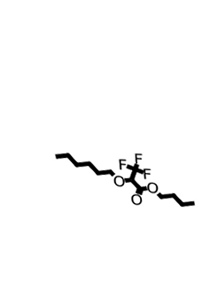 CCCCCCOC(C(=O)OCCCC)C(F)(F)F